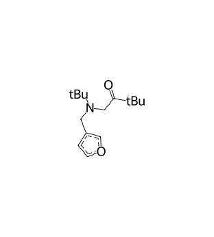 CC(C)(C)C(=O)CN(Cc1ccoc1)C(C)(C)C